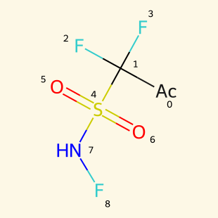 CC(=O)C(F)(F)S(=O)(=O)NF